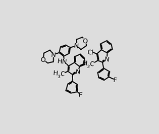 Cc1c(-c2cccc(F)c2)nc2ccccc2c1Cl.Cc1c(-c2cccc(F)c2)nc2ccccc2c1Nc1cc(N2CCOCC2)ccc1N1CCOCC1